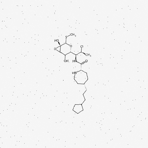 CSC1O[C@H]([C@H](NC(=O)[C@@H]2CC[C@H](CCCC3CCCC3)CCN2)[C@H](C)Cl)C(O)C2O[C@]12O